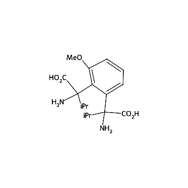 COc1cccc(C(N)(C(=O)O)C(C)C)c1C(N)(C(=O)O)C(C)C